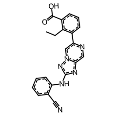 CCc1c(C(=O)O)cccc1-c1cn2nc(Nc3ccccc3C#N)nc2cn1